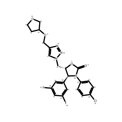 O=C1O[C@@H](Cn2cc(COC3CCOC3)nn2)[C@H](c2cc(F)cc(F)c2)N1c1ccc(Cl)cc1